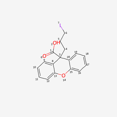 O=C(O)C1(CCCI)c2ccccc2Oc2ccccc21